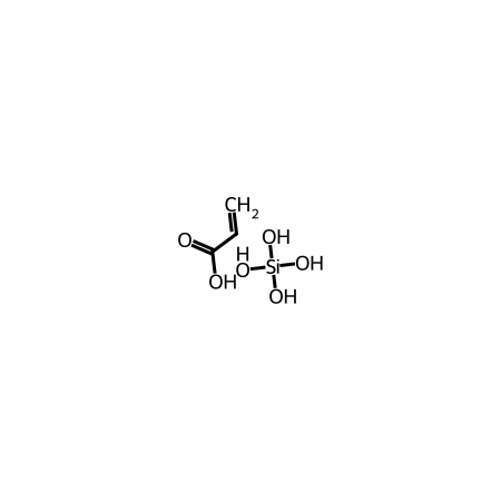 C=CC(=O)O.O[Si](O)(O)O